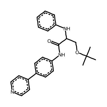 CC(C)(C)OCC(Nc1ccccc1)C(=O)Nc1ccc(-c2ccncc2)cc1